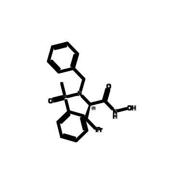 CC(C)C[C@H](C(=O)NO)N(Cc1ccccc1)P(C)(=O)c1ccccc1